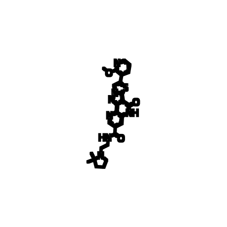 COc1ncccc1-c1cn2nc3c4ncc(C(=O)NCCN5CCCC5(C)C)cc4[nH]c(=O)c3c2s1